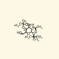 CC(=O)N[C@@H]1C(OC(C)(C)C)OC(CO)[C@@H](OC(C)(C)C)C1O